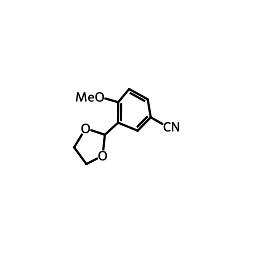 COc1ccc(C#N)cc1C1OCCO1